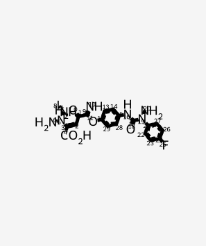 C=C(/C=C(/C(=O)O)N(N)NI)C(=N)Oc1ccc(NC(=O)N(N)c2ccc(F)cc2)cc1